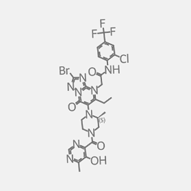 CCc1c(N2CCN(C(=O)c3ncnc(C)c3O)C[C@@H]2C)c(=O)n2nc(Br)nc2n1CC(=O)Nc1ccc(C(F)(F)F)cc1Cl